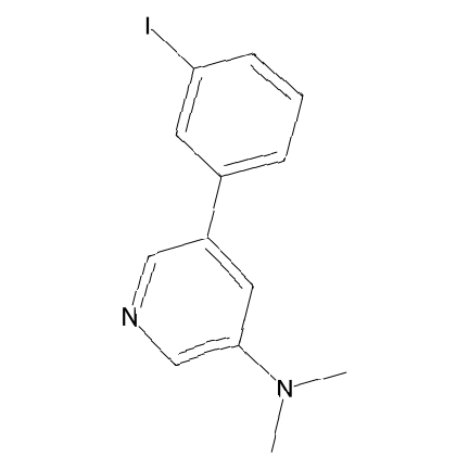 CN(C)c1cncc(-c2cccc(I)c2)c1